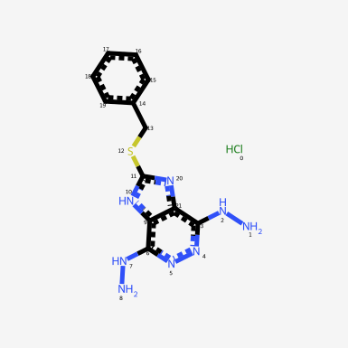 Cl.NNc1nnc(NN)c2[nH]c(SCc3ccccc3)nc12